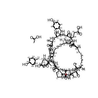 CC(=O)O.C[C@H]1NC(=O)[C@@H]2CCCN2C(=O)[C@H](CC(N)=O)NC(=O)[C@H]2CSSC[C@@H](N)C(=O)N[C@@H]3CSSC[C@@H](NC1=O)C(=O)N[C@@H]([C@@H](C)O)C(=O)NCC(=O)N[C@H](C(=O)N[C@@H](Cc1ccc(O)cc1)C(=O)O)CSSC[C@H](NC(=O)[C@H](Cc1ccc(O)cc1)NC(=O)[C@H](CCC(=O)O)NC3=O)C(=O)N2